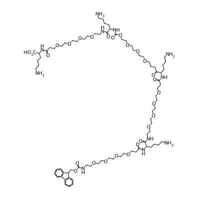 NCCCCC(NC(=O)CCOCCOCCOCCOCCNC(=O)C(CCCCN)NC(=O)OCCOCCOCCOCCCC(=O)C(CCCCN)NC(=O)CCOCCOCCOCCOCCNC(=O)C(CCCCN)NC(=O)CCOCCOCCOCCOCCNC(=O)OCC1c2ccccc2-c2ccccc21)C(=O)O